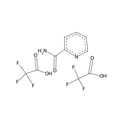 NC(=O)c1ccccn1.O=C(O)C(F)(F)F.O=C(O)C(F)(F)F